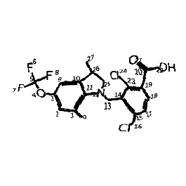 Cc1cc(OC(F)(F)F)cc2c1N(Cc1c(Cl)ccc(C(=O)O)c1Cl)CC2C